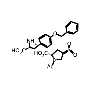 CC(=O)N1CC(=S(=O)=O)C[C@H]1C(=O)O.N[C@@H](Cc1ccc(OCc2ccccc2)cc1)C(=O)O